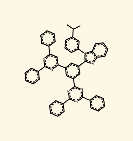 CC(C)c1cccc(-n2c(-c3cc(-c4nc(-c5ccccc5)nc(-c5ccccc5)n4)cc(-c4nc(-c5ccccc5)nc(-c5ccccc5)n4)c3)nc3ccccc32)c1